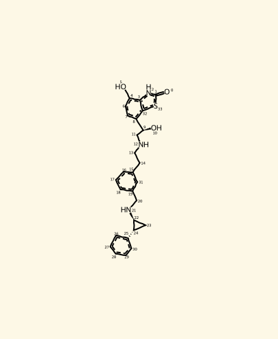 O=c1[nH]c2c(O)ccc([C@@H](O)CNCCc3cccc(CN[C@H]4C[C@@H]4c4ccccc4)c3)c2s1